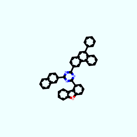 c1ccc(-c2cc3ccc(-c4nc(-c5ccc6ccccc6c5)nc(-c5cccc6oc7ccccc7c56)n4)cc3c3ccccc23)cc1